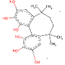 CC1(C)CCC(C)(C)c2cc(O)c(O)c(O)c2-c2c1cc(O)c(O)c2O